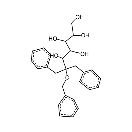 OCC(O)C(O)C(O)C(O)C(Cc1ccccc1)(Cc1ccccc1)OCc1ccccc1